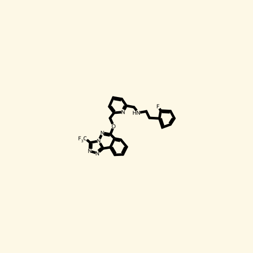 Fc1ccccc1CCNCc1cccc(COc2nn3c(C(F)(F)F)nnc3c3ccccc23)n1